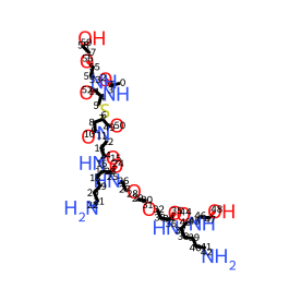 CC(=O)NC(CSC1CC(=O)N(CCC(=O)NC(CCCCN)C(=O)NCCOCCOCCC(=O)NC(CCCCN)C(=O)NCCO)C1=O)C(=O)NCCOCCO